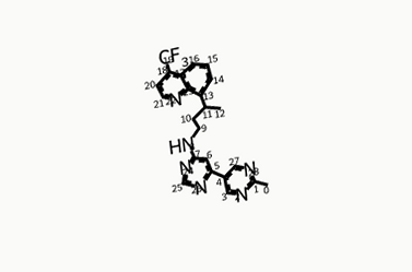 Cc1ncc(-c2cc(NCCC(C)c3cccc4c(C(F)(F)F)ccnc34)ncn2)cn1